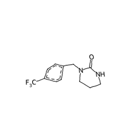 O=C1NCCCN1Cc1ccc(C(F)(F)F)cc1